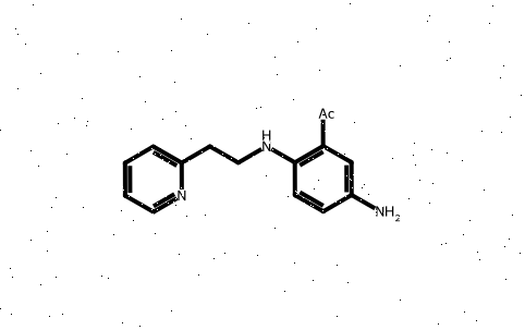 CC(=O)c1cc(N)ccc1NCCc1ccccn1